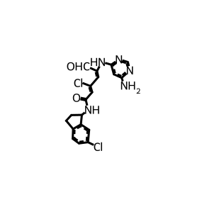 Nc1cc(N/C(C=O)=C/C(Cl)=C/C(=O)NC2CCc3ccc(Cl)cc32)ncn1